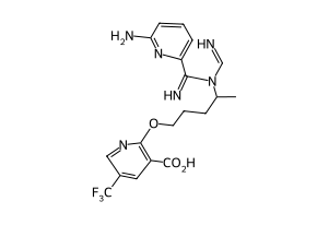 CC(CCCOc1ncc(C(F)(F)F)cc1C(=O)O)N(C=N)C(=N)c1cccc(N)n1